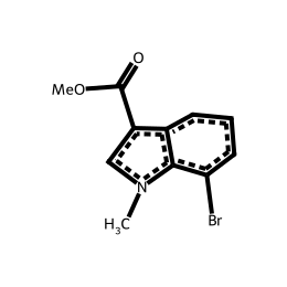 COC(=O)c1cn(C)c2c(Br)cccc12